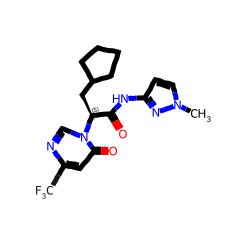 Cn1ccc(NC(=O)[C@H](CC2CCCC2)n2cnc(C(F)(F)F)cc2=O)n1